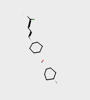 CCCCCCC[C@H]1CC[C@H](CO[C@H]2CC[C@H](/C=C/C=C(\F)C#N)CC2)CC1